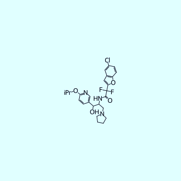 CC(C)Oc1ccc(C(O)C(CN2CCCC2)NC(=O)C(F)(F)c2cc3cc(Cl)ccc3o2)cn1